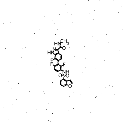 CNC(=O)c1n[nH]c2c(F)c(-c3c(F)ccc(NS(=O)(=O)c4cccc5occc45)c3F)ccc12